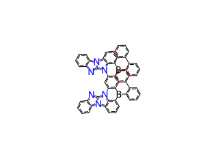 c1ccc(-c2ccccc2B2c3cc4c(cc3-n3c5c2cccc5n2c5ccccc5nc32)-n2c3c(cccc3n3c5ccccc5nc23)B4c2ccccc2-c2ccccc2)cc1